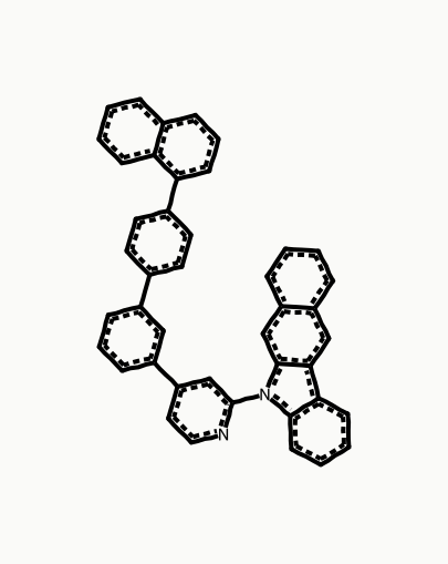 c1cc(-c2ccc(-c3cccc4ccccc34)cc2)cc(-c2ccnc(-n3c4ccccc4c4cc5ccccc5cc43)c2)c1